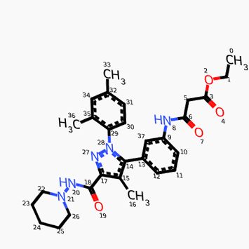 CCOC(=O)CC(=O)Nc1cccc(-c2c(C)c(C(=O)NN3CCCCC3)nn2-c2ccc(C)cc2C)c1